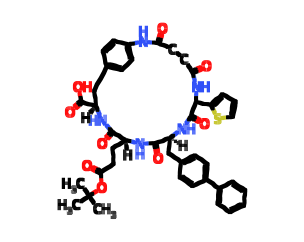 CC(C)(C)OC(=O)CC[C@H]1NC(=O)[C@H](Cc2ccc(-c3ccccc3)cc2)NC(=O)C(c2cccs2)NC(=O)CCC(=O)Nc2ccc(cc2)C[C@@H](C(=O)O)NC1=O